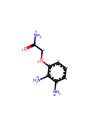 NC(=O)COc1cccc(N)c1N